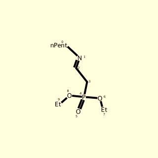 CCCCCN=CCP(=O)(OCC)OCC